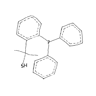 CC(C)(S)c1ccccc1P(c1ccccc1)c1ccccc1